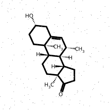 C[C@H]1C=C2C[C@@H](O)CC[C@]2(C)[C@H]2CC[C@]3(C)C(=O)CC[C@H]3[C@H]12